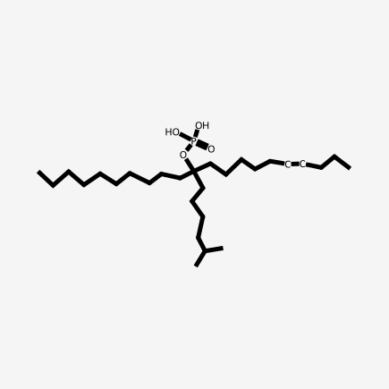 CCCCCCCCCCC(CCCCCCCCCC)(CCCCC(C)C)OP(=O)(O)O